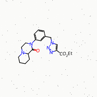 CCOC(=O)c1cn(Cc2cccc(N3CCN4CCCCC4C3=O)c2)nn1